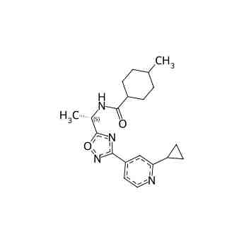 CC1CCC(C(=O)N[C@@H](C)c2nc(-c3ccnc(C4CC4)c3)no2)CC1